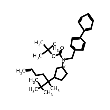 C=CCCC(C)(C1CC[C@H](N(Cc2ccc(-c3ccccc3)cc2)C(=O)OC(C)(C)C)C1)C(C)(C)C